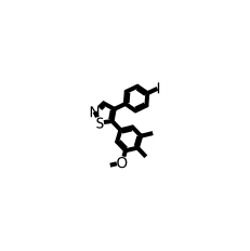 COc1cc(-c2sncc2-c2ccc(I)cc2)cc(C)c1C